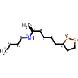 C=C(CCCCC1CCSS1)NCCCC